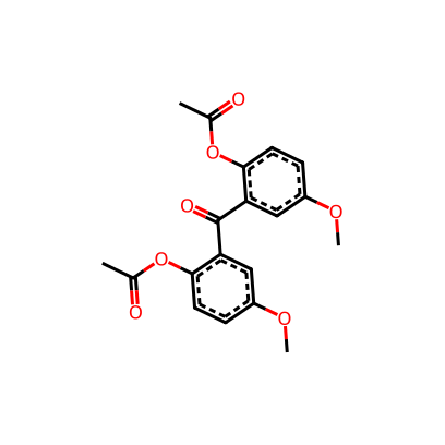 COc1ccc(OC(C)=O)c(C(=O)c2cc(OC)ccc2OC(C)=O)c1